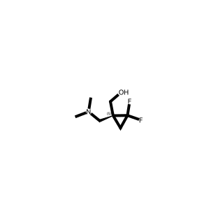 CN(C)C[C@]1(CO)CC1(F)F